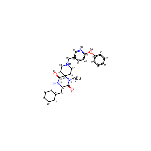 CCCCN1C(=O)C(CC2CCCCC2)NC(=O)C12CCN(Cc1ccc(Oc3ccccc3)nc1)CC2